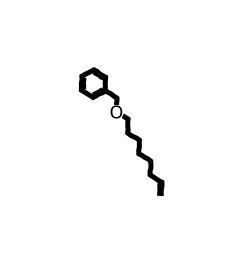 C=CCCCCCCOCc1ccccc1